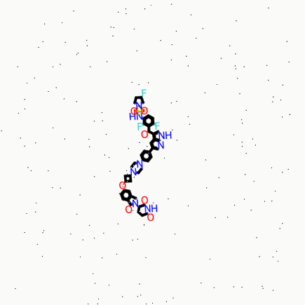 O=C1CCC(N2Cc3cc(O[C@H]4C[C@@H](N5CCN(c6ccc(-c7cnc8[nH]cc(C(=O)c9c(F)ccc(NS(=O)(=O)N%10CC[C@@H](F)C%10)c9F)c8c7)cc6)CC5)C4)ccc3C2=O)C(=O)N1